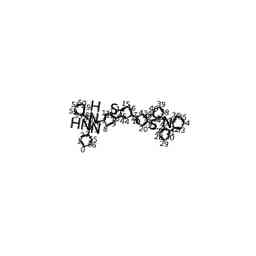 c1ccc(C2N=C(c3ccc4c(c3)sc3ccc(-c5ccc6sc7c(-n8c9ccccc9c9ccccc98)cccc7c6c5)cc34)NC(c3ccccc3)N2)cc1